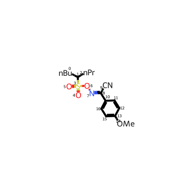 CCCCC(CCC)S(=O)(=O)ON=C(C#N)c1ccc(OC)cc1